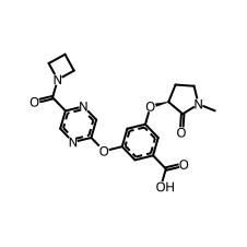 CN1CC[C@H](Oc2cc(Oc3cnc(C(=O)N4CCC4)cn3)cc(C(=O)O)c2)C1=O